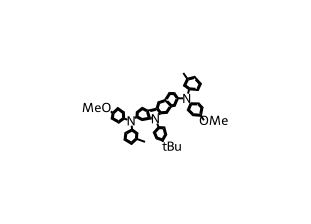 COc1ccc(N(c2cccc(C)c2)c2ccc3cc4c5ccc(N(c6ccc(OC)cc6)c6cccc(C)c6)cc5n(-c5ccc(C(C)(C)C)cc5)c4cc3c2)cc1